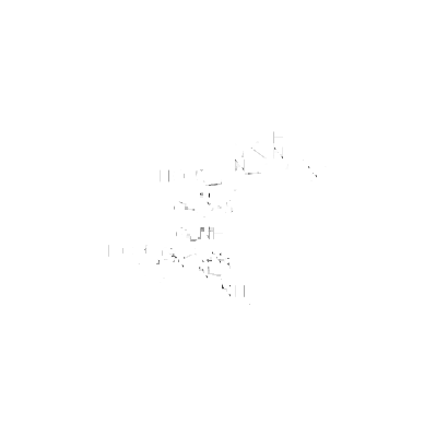 CN(C)CCNc1cc[n+](CC2=C(C(=O)O)N3C(=O)C(NC(=O)/C(=N\OC(C)(C)C(=O)O)c4nsc(N)n4)C3SC2)cc1